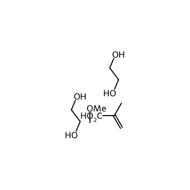 C=C(C)C(=O)O.COC.OCCO.OCCO